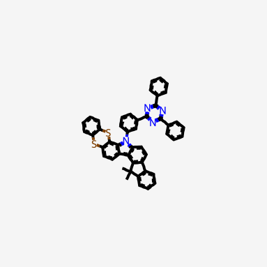 CC1(C)c2ccccc2-c2ccc3c(c21)c1ccc2c(c1n3-c1cccc(-c3nc(-c4ccccc4)nc(-c4ccccc4)n3)c1)Sc1ccccc1S2